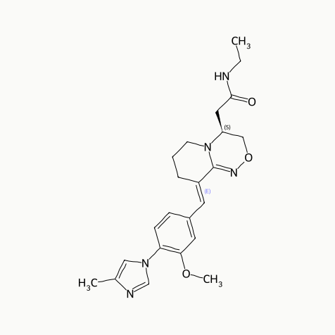 CCNC(=O)C[C@H]1CON=C2/C(=C/c3ccc(-n4cnc(C)c4)c(OC)c3)CCCN21